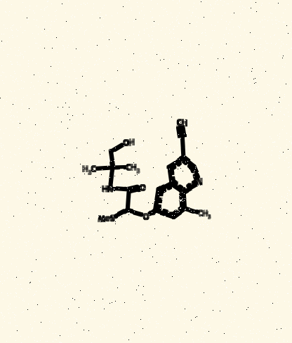 C#Cc1cnc2c(C)cc(OC(SC)C(=O)NC(C)(C)CO)cc2c1